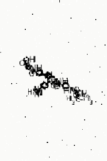 CC(C)(C)OC(=O)NC[C@H]1CC[C@H](C(=O)N[C@@H](Cc2ccc(-c3ccc(C(=O)N[C@@H]4CCN(C(=O)O)C4)cc3)cc2)C(=O)Nc2ccc(-c3nn[nH]n3)cc2)CC1